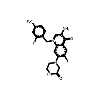 Nc1cn(Cc2ccc(C(F)(F)F)cc2F)c2cc(N3CCNC(=O)C3)c(F)cc2c1=O